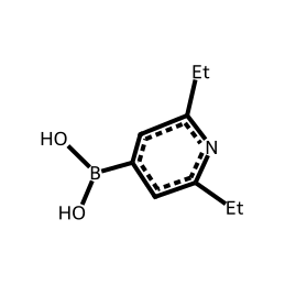 CCc1cc(B(O)O)cc(CC)n1